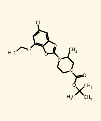 CCOc1cc(Cl)cc2nc(N3CCN(C(=O)OC(C)(C)C)CC3C)oc12